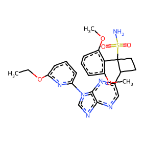 CCOc1cccc(-n2cnc3ncc(C4CCC4(c4c(OC)cccc4OC)S(N)(=O)=O)nc32)n1